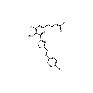 COc1c(Cl)cc(OCC=C(Cl)Cl)cc1C1=NC(COc2ccc(C(F)(F)F)cn2)CO1